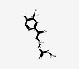 CC(C)(C)OC(=O)NNCC(=O)c1ccc(F)c(C(F)(F)F)c1